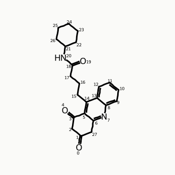 O=C1CC(=O)c2c(nc3ccccc3c2CCCC(=O)NC2CCCCC2)C1